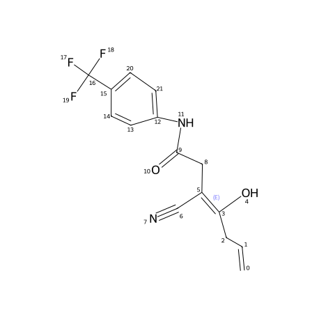 C=CC/C(O)=C(\C#N)CC(=O)Nc1ccc(C(F)(F)F)cc1